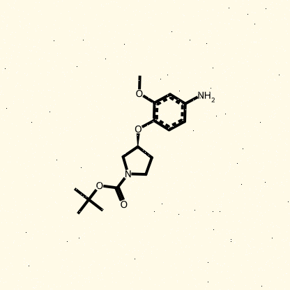 COc1cc(N)ccc1O[C@H]1CCN(C(=O)OC(C)(C)C)C1